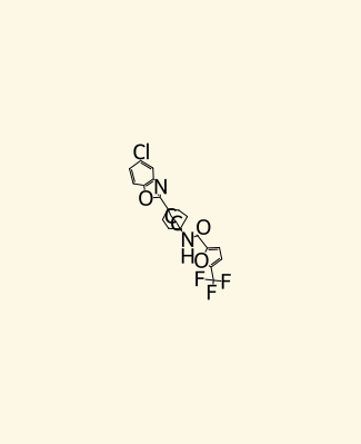 O=C(NC12CCC(c3nc4cc(Cl)ccc4o3)(CC1)CC2)c1ccc(C(F)(F)F)o1